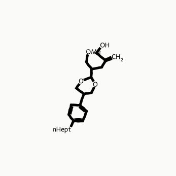 C=C(CO)CC(COC)C1OCC(c2ccc(CCCCCCC)cc2)CO1